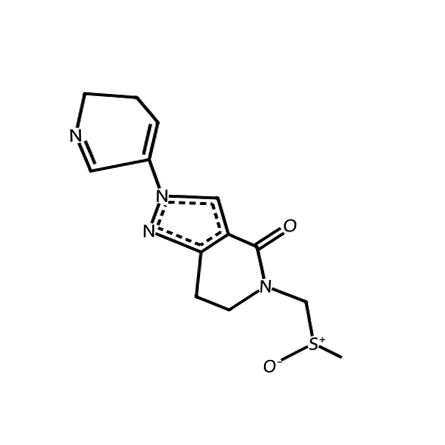 C[S+]([O-])CN1CCc2nn(C3=CCCN=C3)cc2C1=O